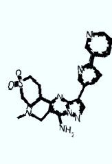 CNCc1c(C2CCS(=O)(=O)CC2)nc2c(-c3ccc(-c4cccnc4)nc3)cnn2c1N